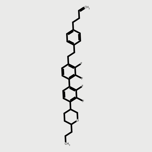 C=CCCc1ccc(CCc2ccc(-c3ccc(C4CCC(CCC)OC4)c(F)c3F)c(F)c2F)cc1